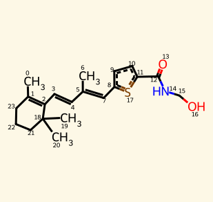 CC1=C(C=C/C(C)=C/c2ccc(C(=O)NCO)s2)C(C)(C)CCC1